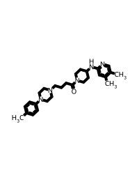 Cc1ccc(N2CCN(CCCC(=O)N3CCC(Nc4cc(C)c(C)cn4)CC3)CC2)cc1